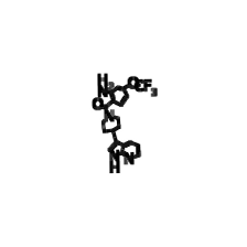 Nc1cc(OC(F)(F)F)ccc1C(=O)N1CCC(c2c[nH]c3ncccc23)CC1